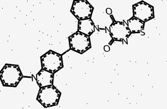 O=c1nc2sc3ccccc3n2c(=O)n1-n1c2ccccc2c2cc(-c3ccc4c(c3)c3ccccc3n4-c3ccccc3)ccc21